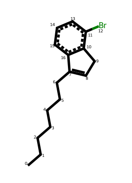 CCCCCCCC1=CCc2c(Br)cccc21